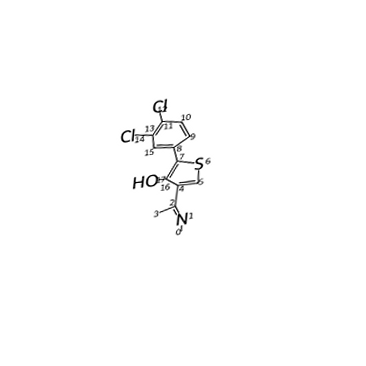 C/N=C(\C)c1csc(-c2ccc(Cl)c(Cl)c2)c1O